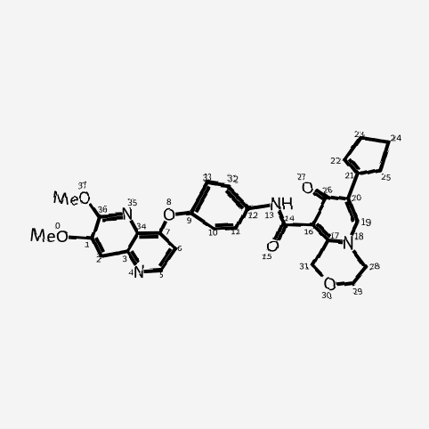 COc1cc2nccc(Oc3ccc(NC(=O)c4c5n(cc(C6=CCCC6)c4=O)CCOC5)cc3)c2nc1OC